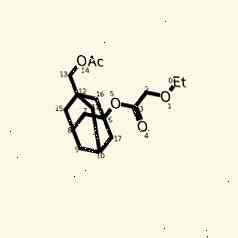 CCOCC(=O)OC12CC3CC(CC(COC(C)=O)(C3)C1)C2